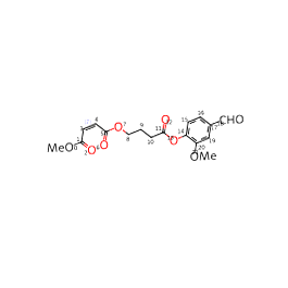 COC(=O)/C=C\C(=O)OCCCC(=O)Oc1ccc(C=O)cc1OC